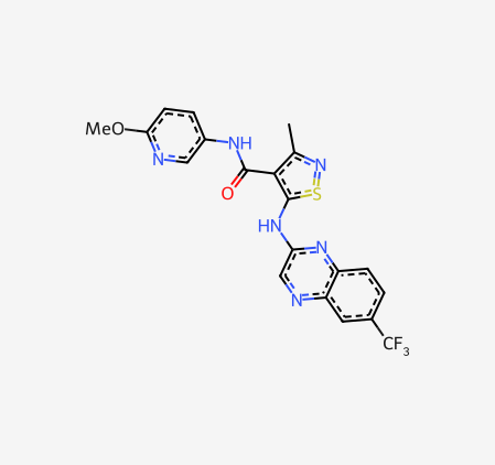 COc1ccc(NC(=O)c2c(C)nsc2Nc2cnc3cc(C(F)(F)F)ccc3n2)cn1